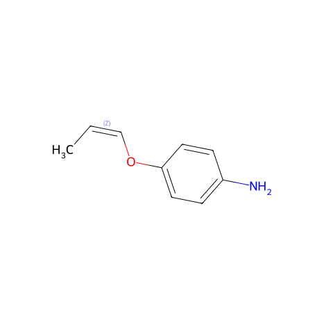 C/C=C\Oc1ccc(N)cc1